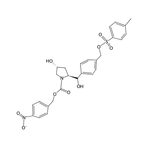 Cc1ccc(S(=O)(=O)OCc2ccc(C(O)[C@@H]3C[C@@H](O)CN3C(=O)OCc3ccc([N+](=O)[O-])cc3)cc2)cc1